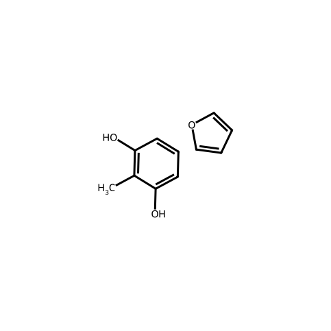 Cc1c(O)cccc1O.c1ccoc1